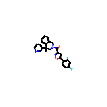 CC1(c2cccnc2)CN(C(=O)c2cc(-c3ccc(F)cc3F)on2)Cc2ccccc21